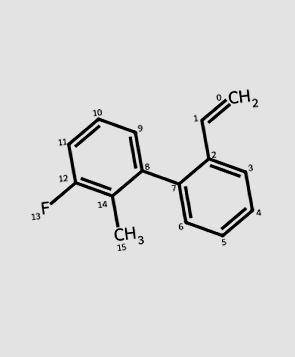 C=Cc1ccccc1-c1cccc(F)c1C